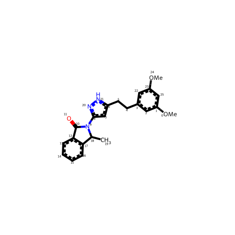 COc1cc(CCc2cc(N3C(=O)c4ccccc4C3C)n[nH]2)cc(OC)c1